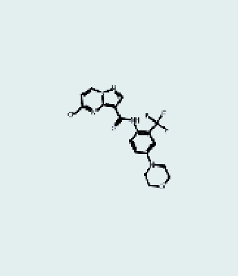 O=C(Nc1ccc(N2CCOCC2)cc1C(F)(F)F)c1cnn2ccc(Cl)nc12